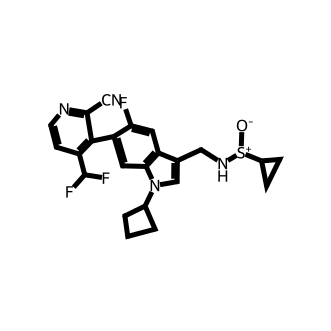 N#Cc1nccc(C(F)F)c1-c1cc2c(cc1F)c(CN[S+]([O-])C1CC1)cn2C1CCC1